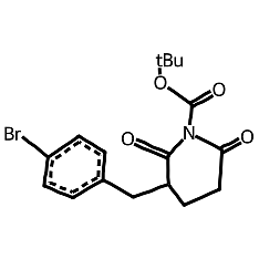 CC(C)(C)OC(=O)N1C(=O)CCC(Cc2ccc(Br)cc2)C1=O